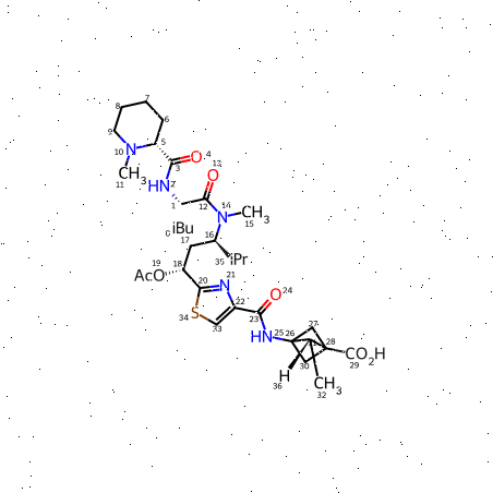 CC[C@H](C)[C@H](NC(=O)[C@H]1CCCCN1C)C(=O)N(C)[C@H](C[C@@H](OC(C)=O)c1nc(C(=O)NC23CC(C(=O)O)(C2)[C@@H]3C)cs1)C(C)C